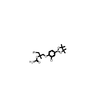 CC(C)CC(C)(COc1ccc(B2OC(C)(C)C(C)(C)O2)cc1Cl)OC(N)=O